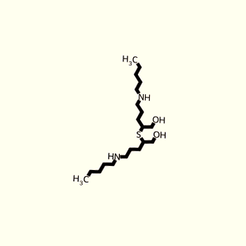 CCCCCNCCCC(CO)SC(CO)CCCNCCCCC